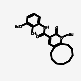 CCCCn1c2c(cc(C(=O)Nc3cccc(OC(C)=O)c3C)c1=O)CCCCCCCC2